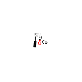 C#C[SiH3].[C]=O.[Co]